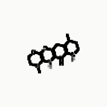 CC1CCNC2=C1CC1=C(N2)NC2=C(OCCN2C)O1